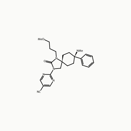 CN[C@]1(c2ccccc2)CC[C@@]2(CC1)CN(c1ncc(C#N)cn1)C(=O)N2CCCOC